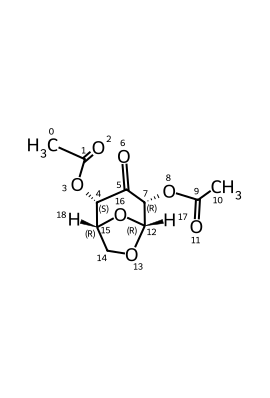 CC(=O)O[C@@H]1C(=O)[C@H](OC(C)=O)[C@@H]2OC[C@H]1O2